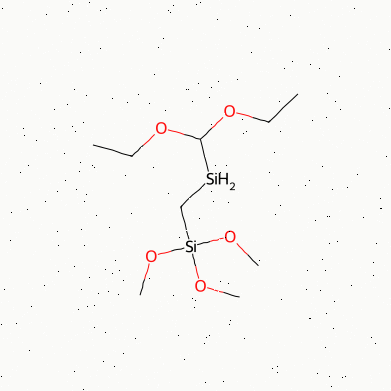 CCOC(OCC)[SiH2]C[Si](OC)(OC)OC